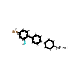 CCCCC[C@H]1CC[C@H](c2ccc(-c3ccc(Br)cc3F)cc2)CC1